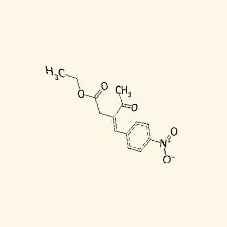 CCOC(=O)CC(=Cc1ccc([N+](=O)[O-])cc1)C(C)=O